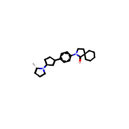 C[C@H]1CCCN1C1CCC(c2ccc(N3CCC4(CCCCC4)C3=O)cc2)C1